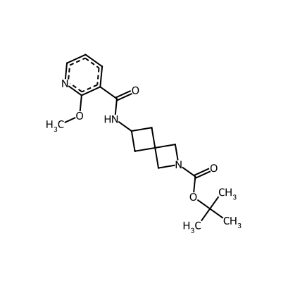 COc1ncccc1C(=O)NC1CC2(C1)CN(C(=O)OC(C)(C)C)C2